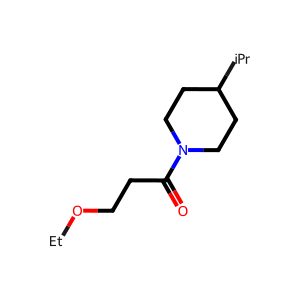 CCOCCC(=O)N1CCC(C(C)C)CC1